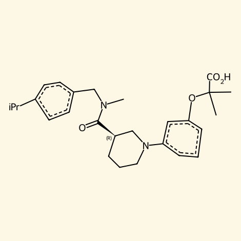 CC(C)c1ccc(CN(C)C(=O)[C@@H]2CCCN(c3cccc(OC(C)(C)C(=O)O)c3)C2)cc1